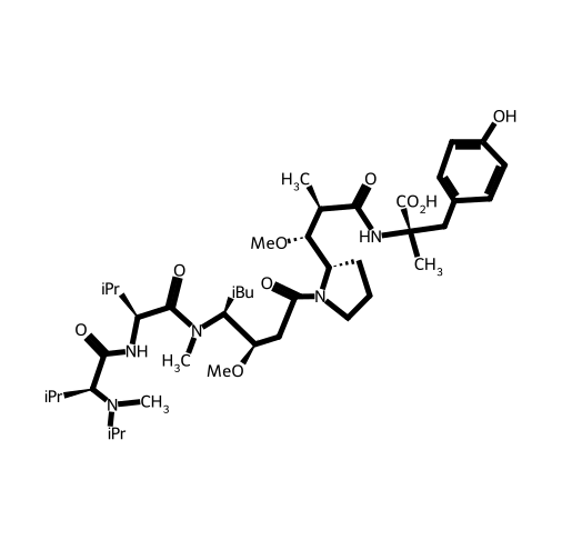 CCC(C)[C@@H]([C@@H](CC(=O)N1CCC[C@H]1[C@H](OC)[C@@H](C)C(=O)N[C@@](C)(Cc1ccc(O)cc1)C(=O)O)OC)N(C)C(=O)[C@@H](NC(=O)[C@H](C(C)C)N(C)C(C)C)C(C)C